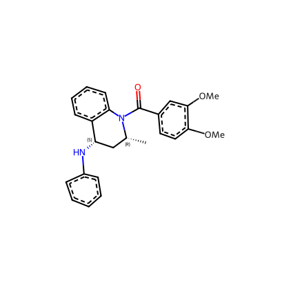 COc1ccc(C(=O)N2c3ccccc3[C@@H](Nc3ccccc3)C[C@H]2C)cc1OC